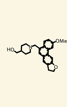 COc1ccc2c(CN3CCC(CO)CC3)cc3cc4c(cc3c2c1)OCC4